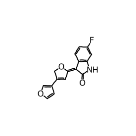 O=C1Nc2cc(F)ccc2C1=C1C=C(c2ccoc2)CO1